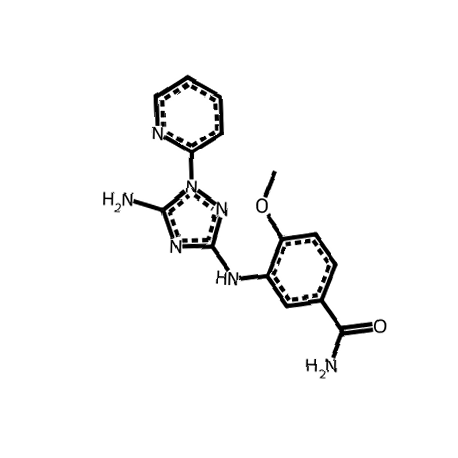 COc1ccc(C(N)=O)cc1Nc1nc(N)n(-c2ccccn2)n1